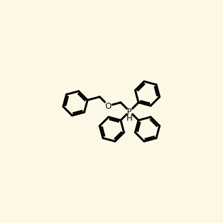 c1ccc(COC[PH](c2ccccc2)(c2ccccc2)c2ccccc2)cc1